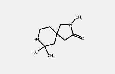 CN1CC2(CCNC(C)(C)C2)CC1=O